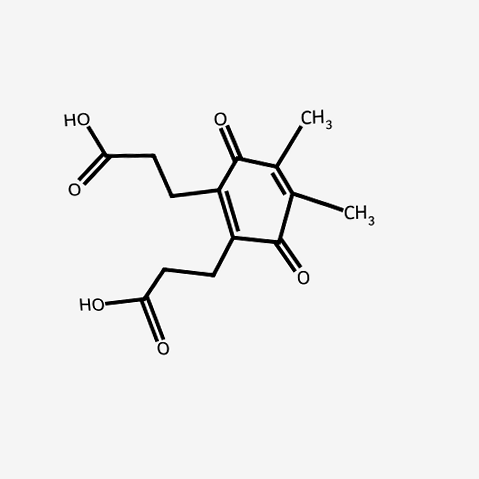 CC1=C(C)C(=O)C(CCC(=O)O)=C(CCC(=O)O)C1=O